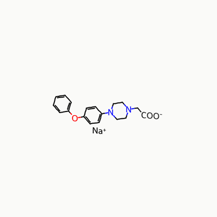 O=C([O-])CN1CCN(c2ccc(Oc3ccccc3)cc2)CC1.[Na+]